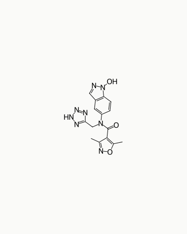 Cc1noc(C)c1C(=O)N(Cc1nn[nH]n1)c1ccc2c(cnn2O)c1